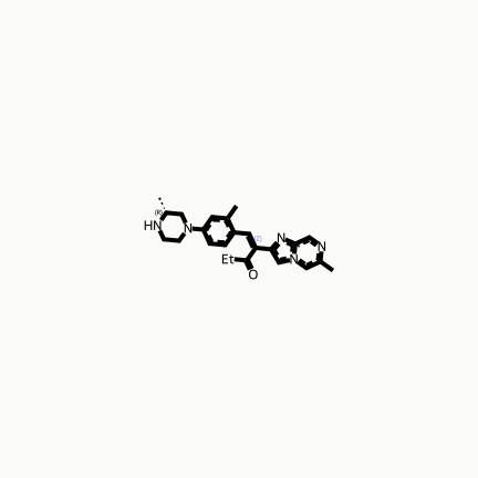 CCC(=O)/C(=C\c1ccc(N2CCN[C@H](C)C2)cc1C)c1cn2cc(C)ncc2n1